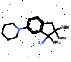 CNC1(NC)Cc2ccc(N3CCCCC3)cc2C1(N)NC